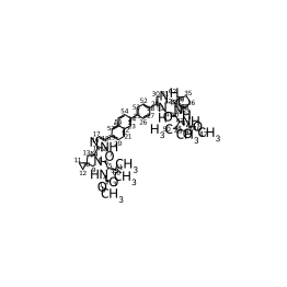 COC(=O)NC(C(=O)N1CC2(CC2)C[C@H]1c1ncc(-c2ccc3cc(-c4ccc(-c5cnc([C@@H]6[C@H]7CC[C@H](C7)N6C(=O)C(NC(=O)OC)C(C)C)[nH]5)cc4)ccc3c2)[nH]1)C(C)C